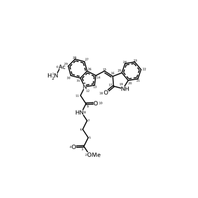 CC(N)=O.COC(=O)CCCNC(=O)Cn1cc(C=C2C(=O)Nc3ccccc32)c2ccccc21